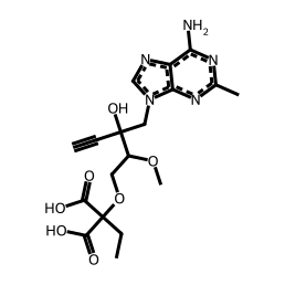 C#CC(O)(Cn1cnc2c(N)nc(C)nc21)C(COC(CC)(C(=O)O)C(=O)O)OC